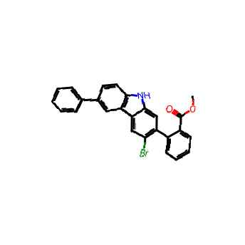 COC(=O)c1ccccc1-c1cc2[nH]c3ccc(-c4ccccc4)cc3c2cc1Br